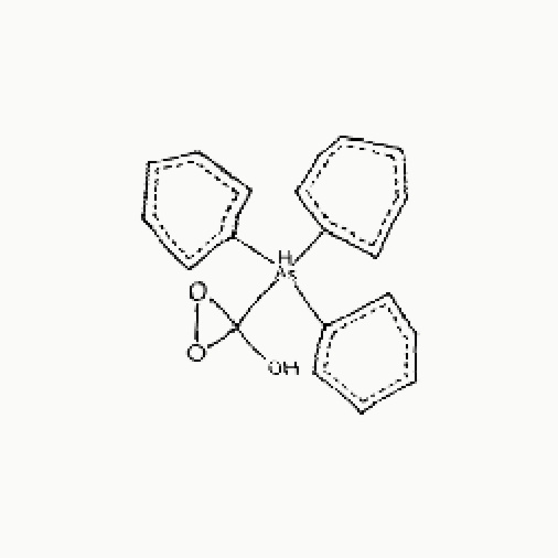 OC1([AsH](c2ccccc2)(c2ccccc2)c2ccccc2)OO1